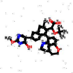 COc1ncc(-c2ccc3c(-c4ccc5c6c(ccnc46)CCO5)c(C(OC(C)(C)C)C(=O)O)c(C)cc3c2)c(O)n1